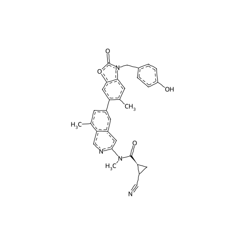 Cc1cc2c(cc1-c1cc(C)c3cnc(N(C)C(=O)[C@H]4CC4C#N)cc3c1)oc(=O)n2Cc1ccc(O)cc1